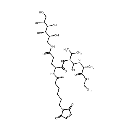 CCNC(=O)[C@H](C)NC(O)[C@@H](NC(=O)[C@H](CCC(=O)NC[C@H](O)[C@@H](O)[C@H](O)[C@H](O)CO)NC(=O)CCCCCN1C(=O)C=CC1=O)C(C)C